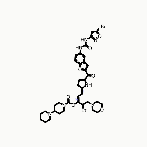 CCC(CN1CCOCC1)/C(=C\C=C1/CC=C(C(=O)c2cc3cc(NC(=O)Nc4cc(C(C)(C)C)on4)ccc3o2)N1)OC(=O)N1CCC(N2CCCCC2)CC1